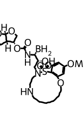 B[C@H](NC(=O)O[C@H]1CO[C@H]2OCC[C@H]21)[C@H](O)CN1CCNCCCCCCOc2cc(OC)ccc2S1(=O)=O